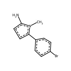 Cn1c(N)ccc1-c1ccc(Br)cc1